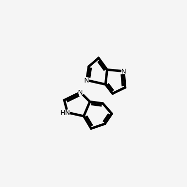 C1=NC2=CC=NC2=C1.c1ccc2[nH]cnc2c1